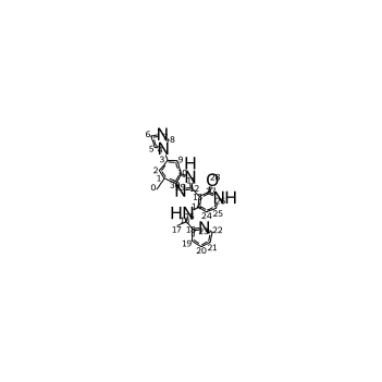 Cc1cc(-n2ccnc2)cc2[nH]c(-c3c(NC(C)c4ccccn4)cc[nH]c3=O)nc12